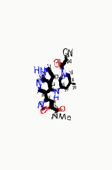 CNC(=O)c1cc(-c2cnc3[nH]ccc3c2N[C@@H]2C[C@H](C)CN(C(=O)CC#N)C2)no1